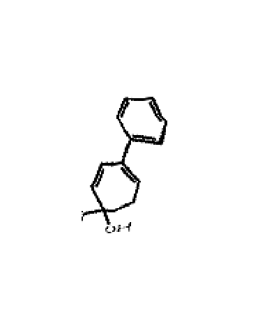 OC1(I)C=CC(c2ccccc2)=CC1